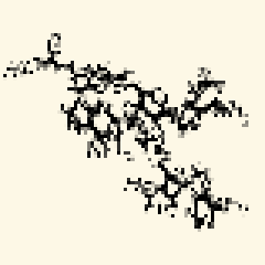 COC1C(CCC(=O)O)OC(n2cnc3c(N)ncnc32)C1OP(O)(=S)OCC1OC(n2cnc3c(N)ncnc32)C(OP(O)(=S)OCC2OC(n3cnc4c(N)ncnc43)C(O)C2O)C1OC